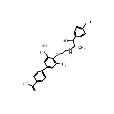 Br.Cc1cc(-c2ccc(C(=O)O)cc2)cc(C)c1OCCN[C@@H](C)[C@@H](O)c1ccc(O)cc1